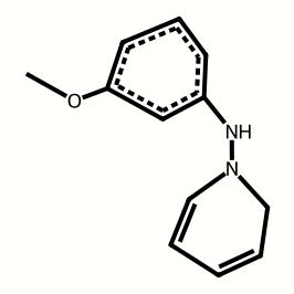 COc1cccc(NN2C=CC=CC2)c1